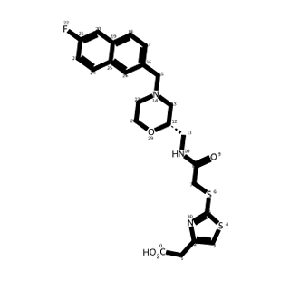 O=C(O)Cc1csc(SCC(=O)NC[C@H]2CN(Cc3ccc4cc(F)ccc4c3)CCO2)n1